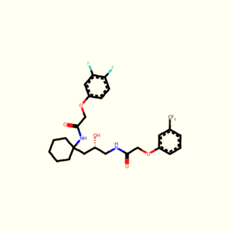 O=C(COc1cccc(C(F)(F)F)c1)NC[C@@H](O)CC1(NC(=O)COc2ccc(F)c(F)c2)CCCCC1